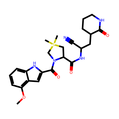 COc1cccc2[nH]c(C(=O)N3CS(C)(C)CC3C(=O)NC(C#N)CC3CCCNC3=O)cc12